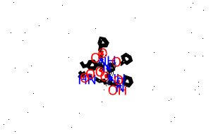 CCC1=CCC([C@@H](NC(=O)OCc2ccccc2)C(=O)N2C[C@H](OCC3CCCCC3)C[C@H]2C(=O)N[C@@H](CCCCNC(=O)OC(C)(C)C)C(O)c2nc3ccccc3o2)C=C1